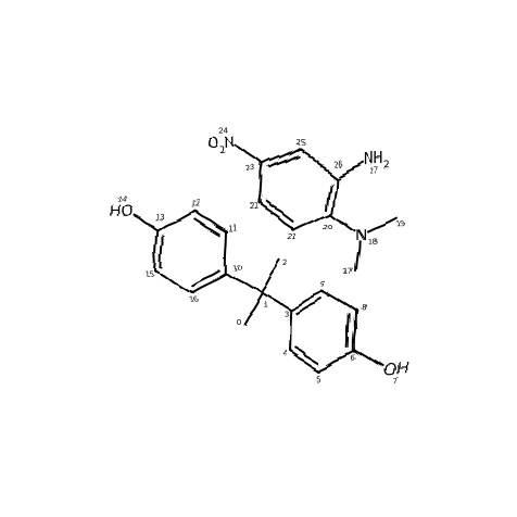 CC(C)(c1ccc(O)cc1)c1ccc(O)cc1.CN(C)c1ccc([N+](=O)[O-])cc1N